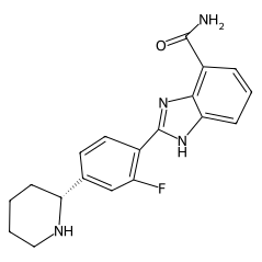 NC(=O)c1cccc2[nH]c(-c3ccc([C@H]4CCCCN4)cc3F)nc12